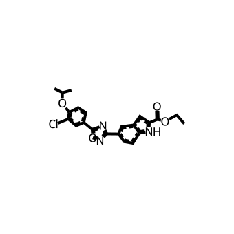 CCOC(=O)c1cc2cc(-c3noc(-c4ccc(OC(C)C)c(Cl)c4)n3)ccc2[nH]1